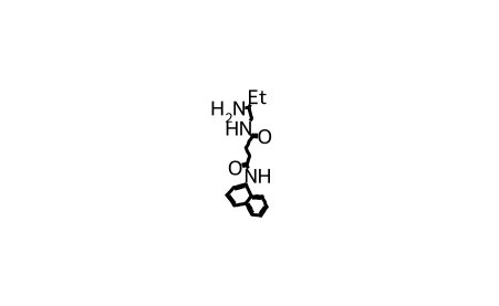 CCC(N)CNC(=O)CCC(=O)Nc1cccc2ccccc12